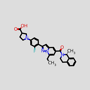 CCc1cc(C(=O)N2CCc3ccccc3[C@H]2C)cc2cc(-c3ccc(N4CCC(C(=O)O)C4)cc3F)nn12